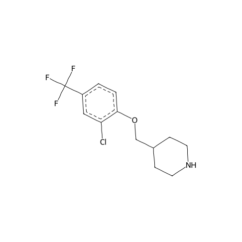 FC(F)(F)c1ccc(OCC2CCNCC2)c(Cl)c1